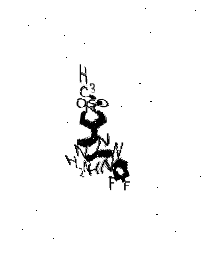 CCS(=O)(=O)N1CC=C(c2cnc(N)c(-c3nc4ccc(F)c(F)c4[nH]3)n2)CC1